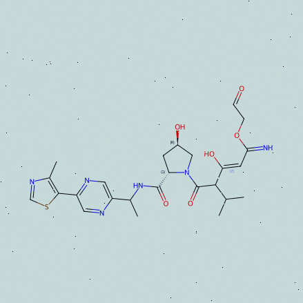 Cc1ncsc1-c1cnc(C(C)NC(=O)[C@@H]2C[C@@H](O)CN2C(=O)C(/C(O)=C/C(=N)OCC=O)C(C)C)cn1